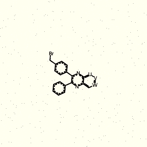 BrCc1ccc(-c2n[c]3c(nc2-c2ccccc2)=[CH][W]=[V][U]=3)cc1